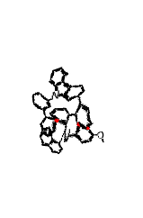 COc1ccc(N(c2ccccc2-c2ccccc2-c2ccc3c4ccccc4n(-c4cccc(-c5ccccc5)c4)c3c2)c2cccc3ccccc23)cc1